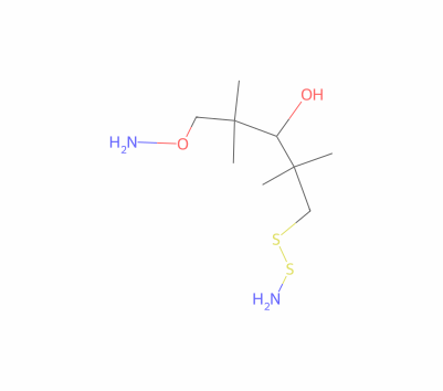 CC(C)(CON)C(O)C(C)(C)CSSN